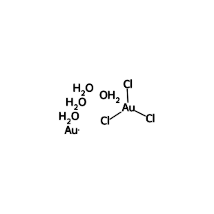 O.O.O.O.[Au].[Cl][Au]([Cl])[Cl]